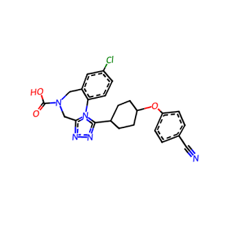 N#Cc1ccc(OC2CCC(c3nnc4n3-c3ccc(Cl)cc3CN(C(=O)O)C4)CC2)cc1